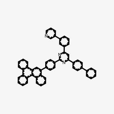 c1ccc(-c2ccc(-c3cc(-c4cccc(-c5cccnc5)c4)nc(-c4ccc(-c5cc6c7ccccc7c7ccccc7c6c6ccccc56)cc4)n3)cc2)cc1